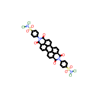 O=C1c2ccc3c4ccc5c6c(ccc(c7ccc(c2c37)C(=O)N1c1ccc(S(=O)(=O)N(Cl)Cl)cc1)c64)C(=O)N(c1ccc(S(=O)(=O)N(Cl)Cl)cc1)C5=O